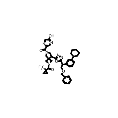 O=C(c1cnc(O)cn1)N1CC(c2nnc(C(COCc3ccccc3)c3cccc(C4CCCCC4)c3)o2)C2(C1)CN(C(=O)C1(C(F)(F)F)CC1)C2